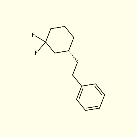 FC1(F)CCC[C@H](C[CH]c2ccccc2)C1